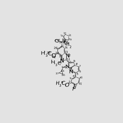 COc1cc(-c2ccc3cc(-c4nc5cc(C(=O)N6CC7CCC6C7N)cc(OC)c5n4C)n(CC4CC4)c3n2)ccc1F